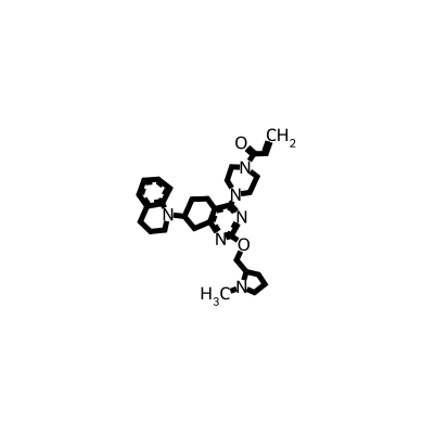 C=CC(=O)N1CCN(c2nc(OCC3CCCN3C)nc3c2CCC(N2CCCc4ccccc42)C3)CC1